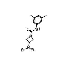 CCN(CC)C1CN(C(=O)Nc2cc(C)cc(C)c2)C1